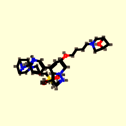 CC(C)S(=O)(=O)CCCN1CC2CC(C1)N2c1ccc(-c2cc(OCCCCN3CC4CC(C3)O4)cn3ncc(C#N)c23)cn1